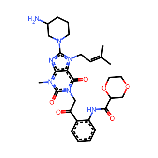 CC(C)=CCn1c(N2CCCC(N)C2)nc2c1c(=O)n(CC(=O)c1ccccc1NC(=O)C1COCCO1)c(=O)n2C